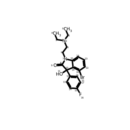 CCN(CC)CCN1C(=O)C(O)(c2ccc(F)cc2)c2c(Br)cccc21